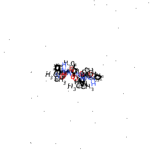 CCCCC(NC(=O)[C@@H]1[C@H]2[C@@H](CN1C(=O)[C@@H](NC(=O)NC1CCCCC1)C(C)(C)C)C2(C)C)C(=O)C(=O)NCC(=O)N[C@H](C(=O)N(C)C)c1ccccc1